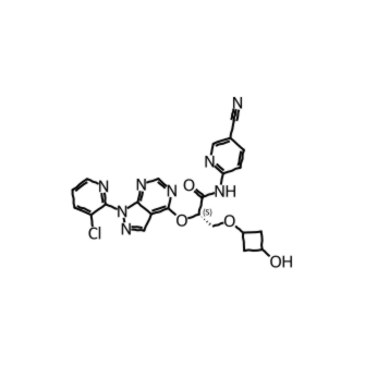 N#Cc1ccc(NC(=O)[C@H](COC2CC(O)C2)Oc2ncnc3c2cnn3-c2ncccc2Cl)nc1